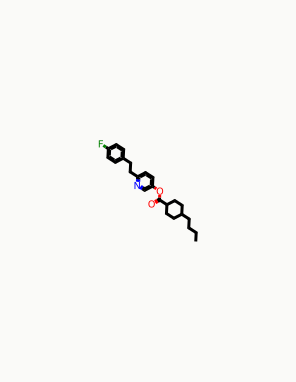 CCCCC1CCC(C(=O)Oc2ccc(CCc3ccc(F)cc3)nc2)CC1